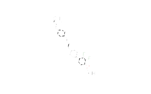 C=CCCc1ccc(CC/C=C/C2CCC(c3ccc(OCC)c(F)c3F)CC2)cc1